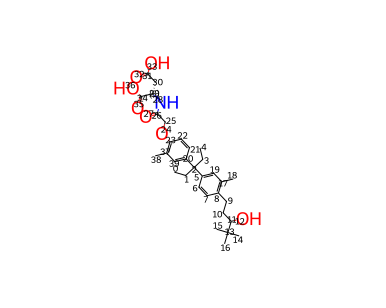 CCC(CC)(c1ccc(CCC(O)C(C)(C)C)c(C)c1)c1ccc(OCC(=O)N[C@@H](CC(=O)O)C(=O)O)c(C)c1